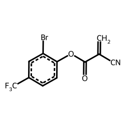 C=C(C#N)C(=O)Oc1ccc(C(F)(F)F)cc1Br